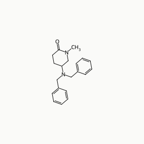 CN1CC(N(Cc2ccccc2)Cc2ccccc2)CCC1=O